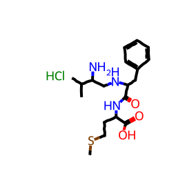 CSCCC(NC(=O)C(Cc1ccccc1)NCC(N)C(C)C)C(=O)O.Cl